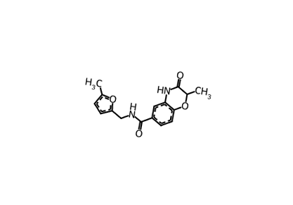 Cc1ccc(CNC(=O)c2ccc3c(c2)NC(=O)C(C)O3)o1